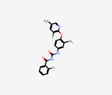 Cc1cnc(Oc2ccc(NC(=O)NC(=O)c3ccccc3Cl)cc2C)c(Cl)c1